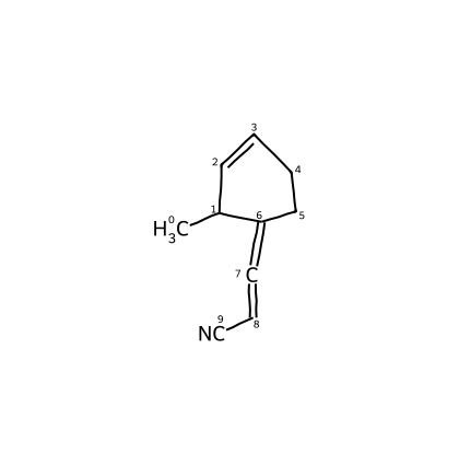 CC1C=CCCC1=C=CC#N